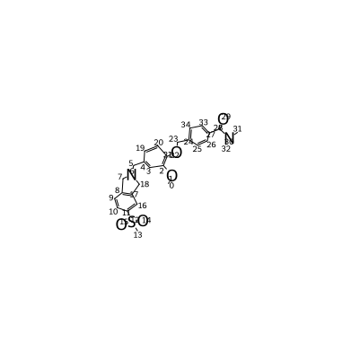 COc1cc(CN2Cc3ccc(S(C)(=O)=O)cc3C2)ccc1OCc1ccc(C(=O)N(C)C)cc1